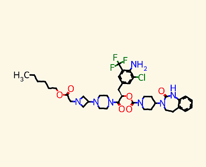 CCCCCCOC(=O)CN1CC(N2CCN(C(=O)[C@@H](Cc3cc(Cl)c(N)c(C(F)(F)F)c3)OC(=O)N3CCC(N4CCc5ccccc5NC4=O)CC3)CC2)C1